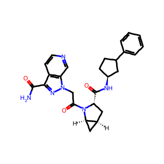 NC(=O)c1nn(CC(=O)N2[C@@H]3C[C@@H]3C[C@H]2C(=O)N[C@H]2CCC(c3ccccc3)C2)c2cnccc12